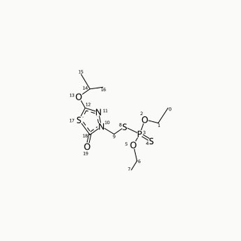 CCOP(=S)(OCC)SCn1nc(OC(C)C)sc1=O